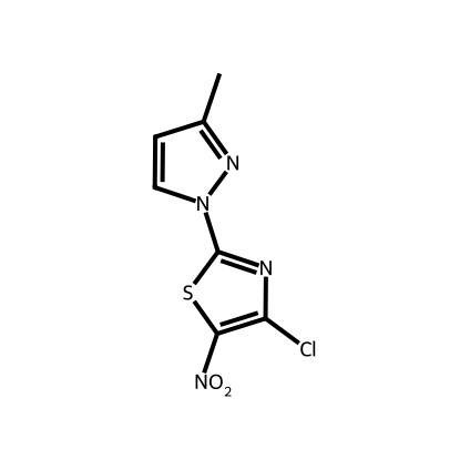 Cc1ccn(-c2nc(Cl)c([N+](=O)[O-])s2)n1